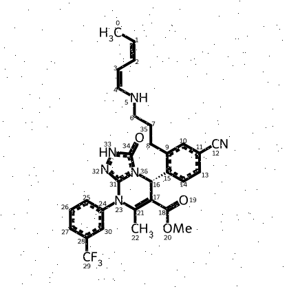 C/C=C\C=C/NCCCc1cc(C#N)ccc1[C@@H]1C(C(=O)OC)=C(C)N(c2cccc(C(F)(F)F)c2)c2n[nH]c(=O)n21